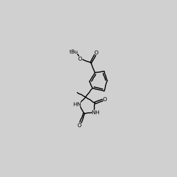 CC(C)(C)OC(=O)c1cccc(C2(C)NC(=O)NC2=O)c1